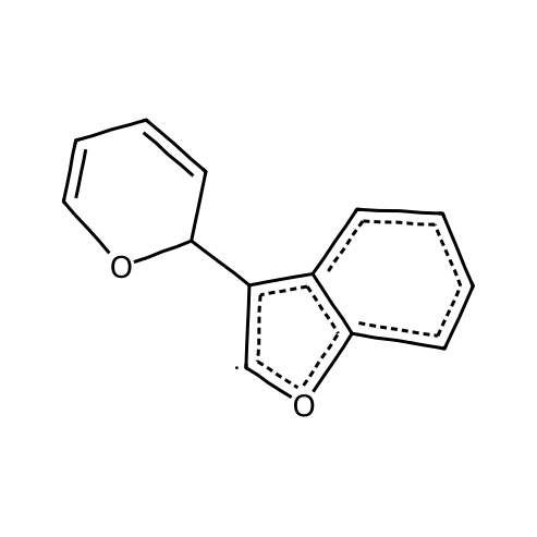 [c]1oc2ccccc2c1C1C=CC=CO1